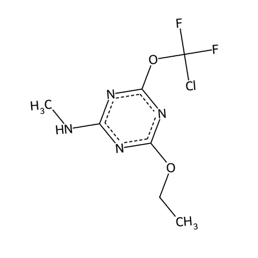 CCOc1nc(NC)nc(OC(F)(F)Cl)n1